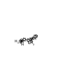 Cc1cc(-c2cccc(NS(C)(=O)=O)c2)cc2c1C(=O)N(NCC1CCOCC1)C2